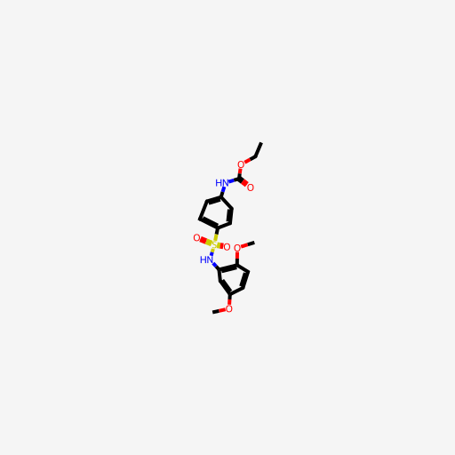 CCOC(=O)Nc1ccc(S(=O)(=O)Nc2cc(OC)ccc2OC)cc1